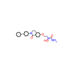 NC(=O)N(O)CCOc1ccc2c(c1)CCN(c1ccc(-c3ccccc3)cc1)C2=O